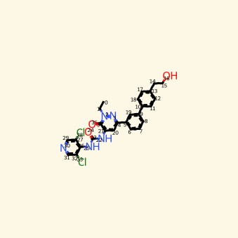 CCn1nc(-c2cccc(-c3ccc(CCO)cc3)c2)cc(NC(=O)Nc2c(Cl)cncc2Cl)c1=O